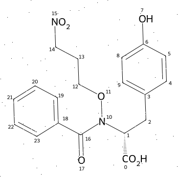 O=C(O)[C@@H](Cc1ccc(O)cc1)N(OCCC[N+](=O)[O-])C(=O)c1ccccc1